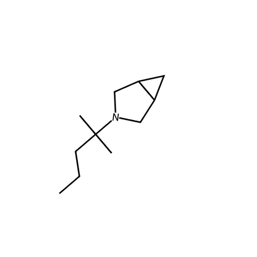 CCCC(C)(C)N1CC2CC2C1